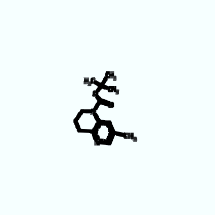 Cc1cnc2c(c1)N(C(=O)OC(C)(C)C)CCC2